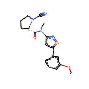 COc1cccc(-c2cc(N(C)C(=O)[C@@H]3CCCN3C#N)no2)c1